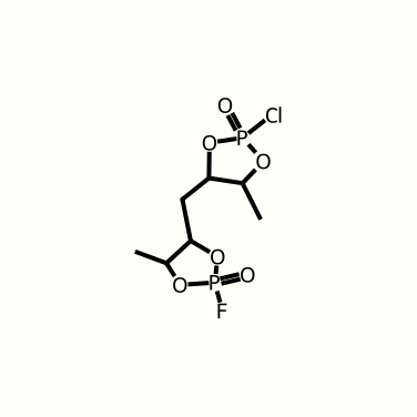 CC1OP(=O)(F)OC1CC1OP(=O)(Cl)OC1C